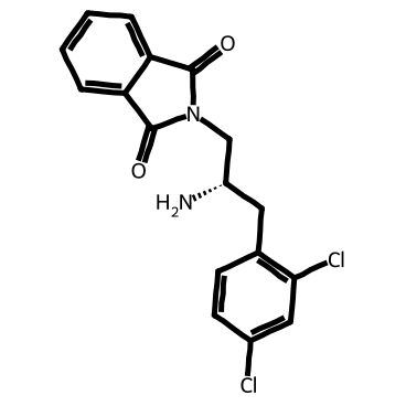 N[C@@H](Cc1ccc(Cl)cc1Cl)CN1C(=O)c2ccccc2C1=O